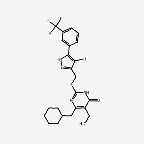 CCc1c(CC2CCCCC2)nc(SCc2n[nH]c(-c3cccc(C(F)(F)F)c3)c2Cl)[nH]c1=O